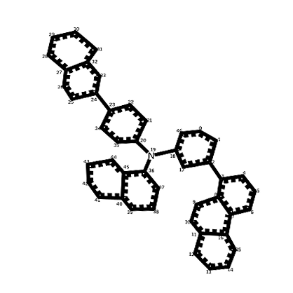 c1cc(-c2cccc3c2ccc2ccccc23)cc(N(c2ccc(-c3ccc4ccccc4c3)cc2)c2cccc3ccccc23)c1